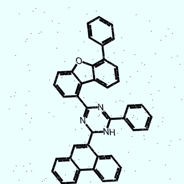 c1ccc(C2=NC(c3cccc4oc5c(-c6ccccc6)cccc5c34)=NC(c3cc4ccccc4c4ccccc34)N2)cc1